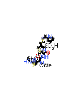 CON=C(C(=O)NC1C(=O)N2C(C(=O)O)=C(CS/C=C\c3ccccn3)CS[C@@H]12)c1csc(NC=O)n1